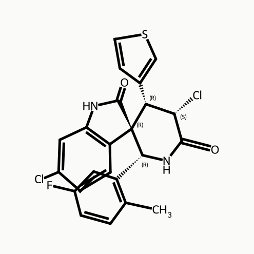 Cc1ccc(F)cc1[C@H]1NC(=O)[C@@H](Cl)[C@@H](c2ccsc2)[C@]12C(=O)Nc1cc(Cl)ccc12